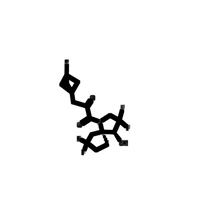 O=C(CC12CC(F)(C1)C2)C(=O)N1CC(F)(F)[C@@H](O)[C@]12CCC(F)(F)C2